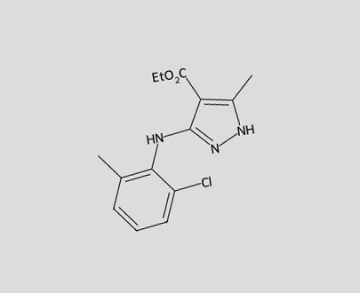 CCOC(=O)c1c(Nc2c(C)cccc2Cl)n[nH]c1C